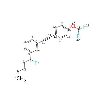 C=CCCC(F)c1cccc(C#Cc2ccc(OC(F)F)cc2)c1